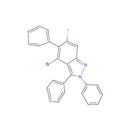 Fc1cc2nn(-c3ccccc3)c(-c3ccccc3)c2c(Br)c1-c1ccccc1